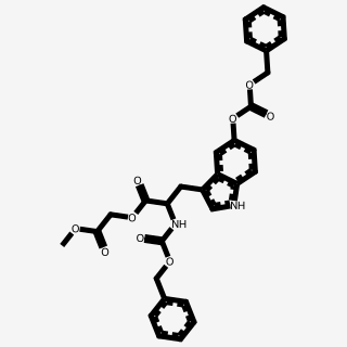 COC(=O)COC(=O)C(Cc1c[nH]c2ccc(OC(=O)OCc3ccccc3)cc12)NC(=O)OCc1ccccc1